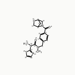 CN(Cc1ccc(C(=O)N2CC3CC2CO3)cc1)C(=O)N(C)c1nccs1